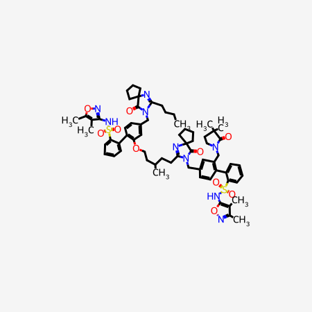 CCCCC1=NC2(CCCC2)C(=O)N1Cc1ccc(-c2ccccc2S(=O)(=O)Nc2noc(C)c2C)c(OCCC(C)CCC2=NC3(CCCC3)C(=O)N2Cc2ccc(-c3ccccc3S(=O)(=O)Nc3onc(C)c3C)c(CN3CCC(C)(C)C3=O)c2)c1